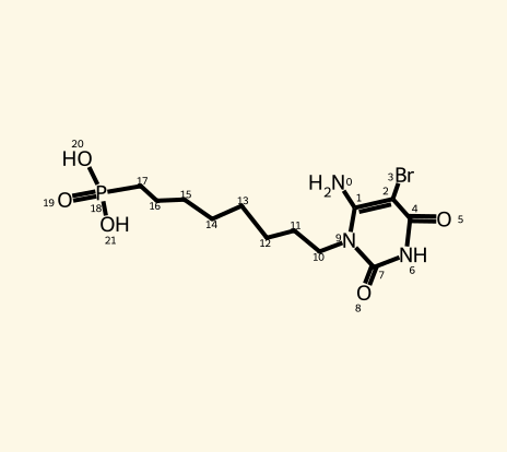 Nc1c(Br)c(=O)[nH]c(=O)n1CCCCCCCCP(=O)(O)O